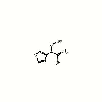 C=C(O)C(OC(C)(C)C)c1cscn1